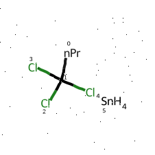 CCCC(Cl)(Cl)Cl.[SnH4]